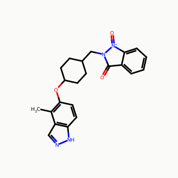 Cc1c(OC2CCC(CN3C(=O)c4ccccc4[N+]3=O)CC2)ccc2[nH]ncc12